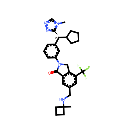 Cn1cnnc1[C@@H](c1cccc(N2Cc3c(cc(CNC4(C)CCC4)cc3C(F)(F)F)C2=O)c1)C1CCCC1